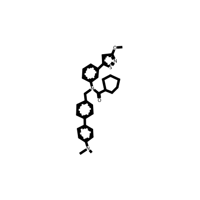 COc1cc(-c2cccc(N(Cc3ccc(-c4ccc(N(C)C)cc4)cc3)C(=O)C3CCCCC3)c2)sn1